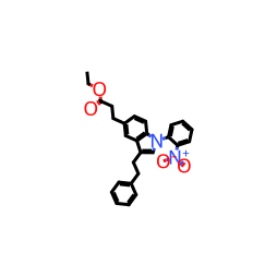 CCOC(=O)CCc1ccc2c(c1)c(CCc1ccccc1)cn2-c1ccccc1[N+](=O)[O-]